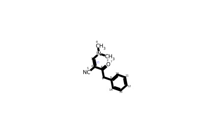 CN(C)/C=C(/C#N)C(=O)Cc1ccccc1